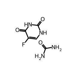 NC(N)=O.O=c1[nH]cc(F)c(=O)[nH]1